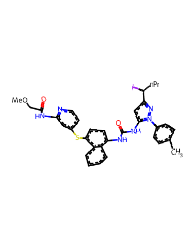 CCCC(I)c1cc(NC(=O)Nc2ccc(Sc3ccnc(NC(=O)COC)c3)c3ccccc23)n(-c2ccc(C)cc2)n1